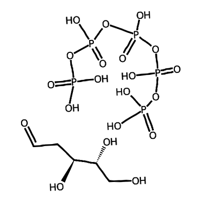 O=CC[C@H](O)[C@H](O)CO.O=P(O)(O)OP(=O)(O)OP(=O)(O)OP(=O)(O)OP(=O)(O)O